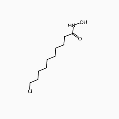 O=C(CCCCCCCCCCl)NO